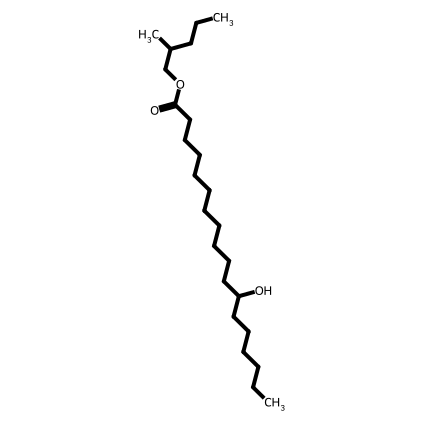 CCCCCCC(O)CCCCCCCCCCC(=O)OCC(C)CCC